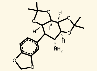 CC1(C)O[C@H]2[C@@H](O1)[C@H](N)C(c1ccc3c(c1)OCO3)[C@H]1OC(C)(C)O[C@@H]21